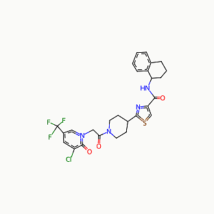 O=C(NC1CCCc2ccccc21)c1csc(C2CCN(C(=O)Cn3cc(C(F)(F)F)cc(Cl)c3=O)CC2)n1